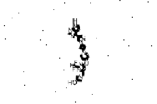 OC1CN(Cc2cc(OC3CCN(C4C[C](n5cc(-c6ncnc7[nH]ccc67)cn5)C4)CC3)nc(C(F)(F)F)n2)C1